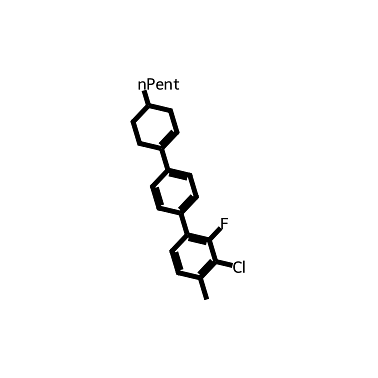 CCCCCC1CC=C(c2ccc(-c3ccc(C)c(Cl)c3F)cc2)CC1